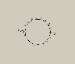 O=C1CCCCCCCCC(=O)CCCCCCCC1